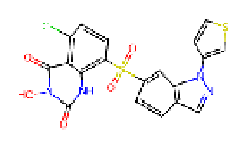 O=c1[nH]c2c(S(=O)(=O)c3ccc4cnn(-c5ccsc5)c4c3)ccc(Cl)c2c(=O)n1O